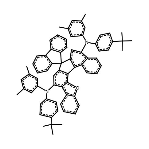 Cc1cc(C)cc(N(c2ccc(C(C)(C)C)cc2)c2cc3c(c4ccccc24)-c2c(cc(N(c4ccc(C(C)(C)C)cc4)c4cc(C)cc(C)c4)c4c2oc2ccccc24)C32c3ccccc3-c3ccccc32)c1